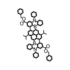 CC(C)c1cc2c3c(cc4c(C(C)C)cc5c6c(cc1c3c46)B1c3ccccc3N(c3ccccc3)c3cc(C(=O)OCc4ccccc4)cc-5c31)B1c3ccccc3N(c3ccccc3)c3cc(C(=O)OCc4ccccc4)cc-2c31